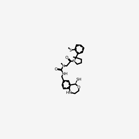 CSc1ccccc1C1(C)CCCN1C(=O)CN(C)C(=O)NCc1ccc2c(c1)[C@@H](S)OCCN2